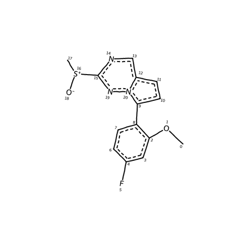 COc1cc(F)ccc1-c1ccc2cnc([S+](C)[O-])nn12